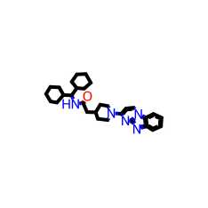 O=C(CC1CCN(c2ccn3c(n2)nc2ccccc23)CC1)NC(C1CCCCC1)C1CCCCC1